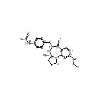 CCNc1ncc2c(n1)N1CCC[C@H]1CN(Cc1ccc(NC(C)=O)cc1)C2=O